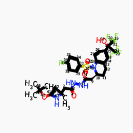 CC1(CC(=O)NNC(=O)C[C@@H]2CCc3cc(C(O)(C(F)(F)F)C(F)(F)F)ccc3N2S(=O)(=O)c2ccc(F)cc2)C=C(OC(C)(C)C)N1